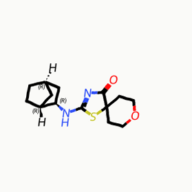 O=C1N=C(N[C@@H]2C[C@@H]3CC[C@@H]2C3)SC12CCOCC2